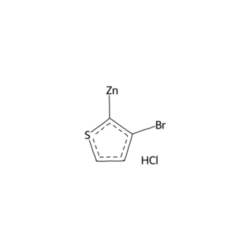 Cl.[Zn][c]1sccc1Br